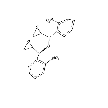 O=[N+]([O-])c1ccccc1[C@H](O[C@@H](c1ccccc1[N+](=O)[O-])C1CO1)C1CO1